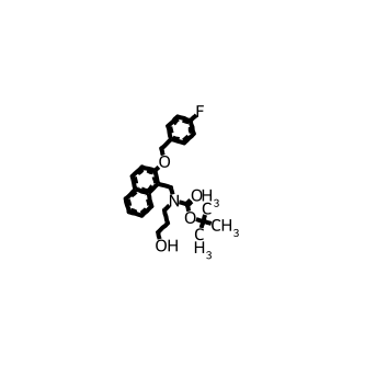 CC(C)(C)OC(=O)N(CCCO)Cc1c(OCc2ccc(F)cc2)ccc2ccccc12